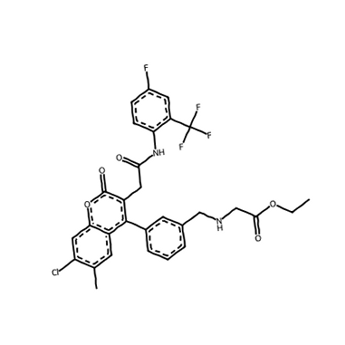 CCOC(=O)CNCc1cccc(-c2c(CC(=O)Nc3ccc(F)cc3C(F)(F)F)c(=O)oc3cc(Cl)c(C)cc23)c1